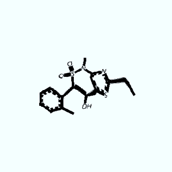 CCc1nc2c(s1)C(O)=C(c1ccccc1C)S(=O)(=O)N2C